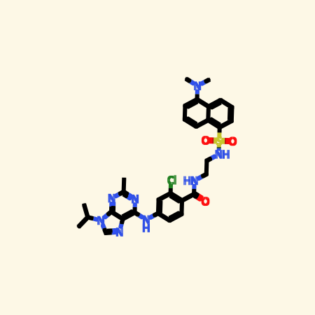 Cc1nc(Nc2ccc(C(=O)NCCNS(=O)(=O)c3cccc4c(N(C)C)cccc34)c(Cl)c2)c2ncn(C(C)C)c2n1